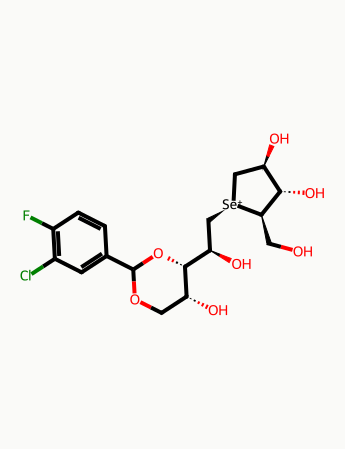 OC[C@@H]1[C@@H](O)[C@H](O)C[Se@+]1C[C@@H](O)[C@H]1OC(c2ccc(F)c(Cl)c2)OC[C@H]1O